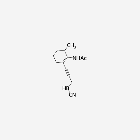 CC(=O)NC1=C(C#CCBC#N)CCCC1C